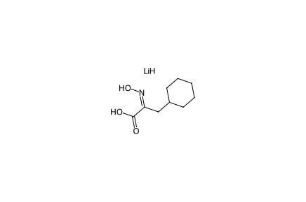 O=C(O)C(CC1CCCCC1)=NO.[LiH]